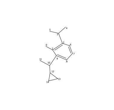 Cc1c(C(C)C)cccc1C(C)C1CC1